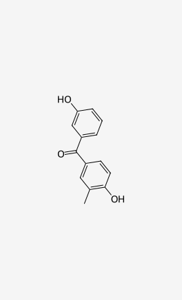 Cc1cc(C(=O)c2cccc(O)c2)ccc1O